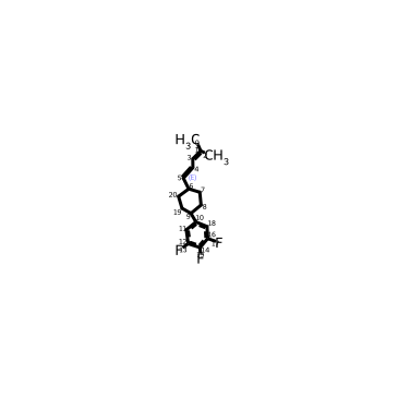 CC(C)=C/C=C/C1CCC(c2cc(F)c(F)c(F)c2)CC1